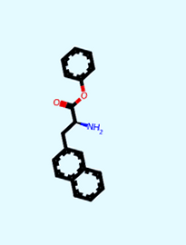 N[C@@H](Cc1ccc2ccccc2c1)C(=O)Oc1ccccc1